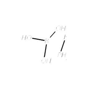 FP.OB(O)O